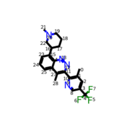 Cc1cc(C(F)(F)F)cnc1-c1nnc2c(C3CCCN(C)C3)cccc2c1C